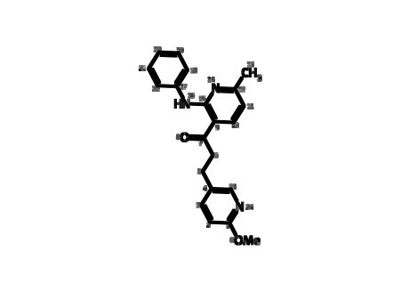 COc1ccc(CCC(=O)c2ccc(C)nc2Nc2ccccc2)cn1